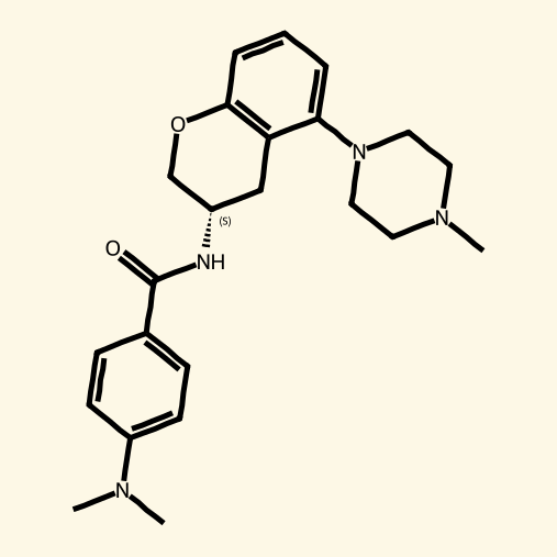 CN1CCN(c2cccc3c2C[C@H](NC(=O)c2ccc(N(C)C)cc2)CO3)CC1